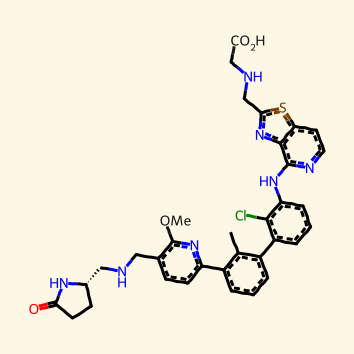 COc1nc(-c2cccc(-c3cccc(Nc4nccc5sc(CNCC(=O)O)nc45)c3Cl)c2C)ccc1CNC[C@@H]1CCC(=O)N1